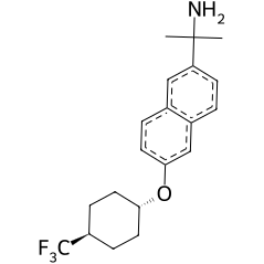 CC(C)(N)c1ccc2cc(O[C@H]3CC[C@H](C(F)(F)F)CC3)ccc2c1